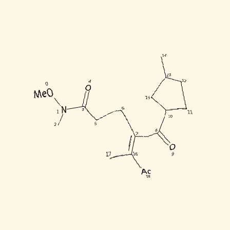 CON(C)C(=O)CC/C(C(=O)C1CCC(C)C1)=C(\C)C(C)=O